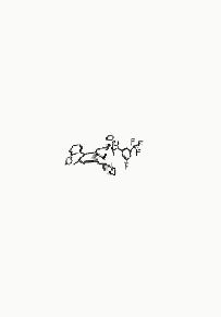 COc1ccccc1-c1c(C)cc(N2CCC2)nc1CN1C(=O)OC(c2cc(F)cc(C(F)(F)F)c2)C1C